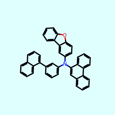 c1cc(-c2cccc3ccccc23)cc(N(c2ccc3oc4ccccc4c3c2)c2cc3ccccc3c3ccccc23)c1